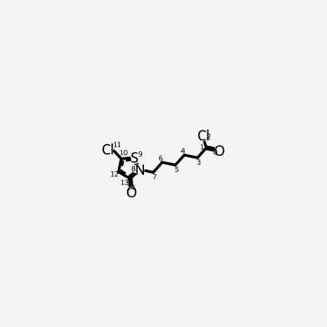 O=C(Cl)CCCCCn1sc(Cl)cc1=O